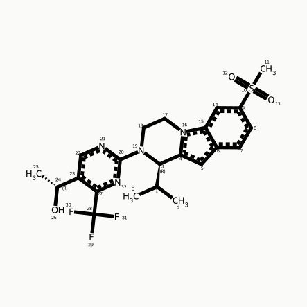 CC(C)[C@@H]1c2cc3ccc(S(C)(=O)=O)cc3n2CCN1c1ncc([C@@H](C)O)c(C(F)(F)F)n1